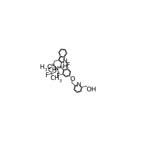 C[C@@H]1Cc2c([nH]c3ccccc23)[C@@H](c2c(F)cc(OCc3cccc(CO)n3)cc2F)N1CC(C)(C)F